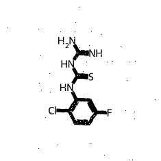 N=C(N)NC(=S)Nc1cc(F)ccc1Cl